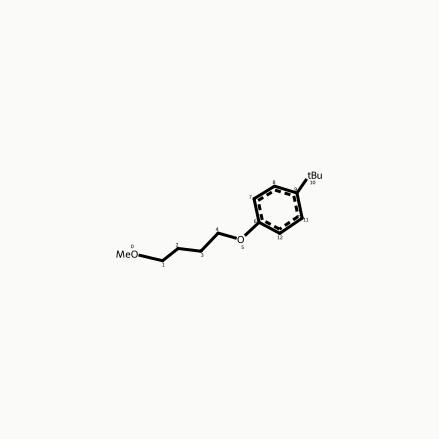 COCCCCOc1ccc(C(C)(C)C)cc1